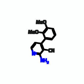 COc1cccc(-c2ccnc(N)c2C#N)c1OC